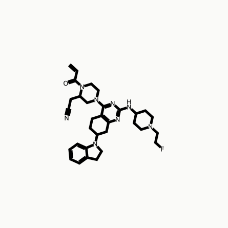 C=CC(=O)N1CCN(c2nc(NC3CCN(CCF)CC3)nc3c2CCC(N2CCc4ccccc42)C3)CC1CC#N